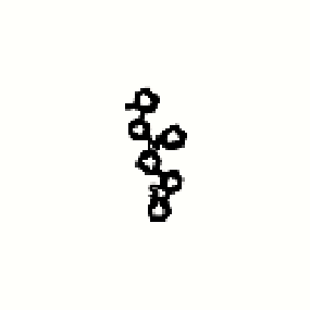 CC1CC=CC=C1C1=CCCC(N(c2cccc(-c3cccc4c3sc3ccccc34)c2)C2C=CC=CC2)=C1